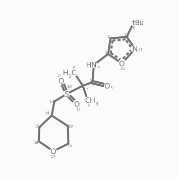 CC(C)(C)c1cc(NC(=O)C(C)(C)S(=O)(=O)CC2CCOCC2)on1